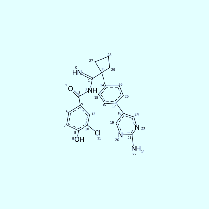 N=C(NC(=O)c1ccc(O)c(Cl)c1)C1(c2ccc(-c3cnc(N)nc3)cc2)CCC1